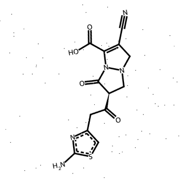 N#CC1=C(C(=O)O)N2C(=O)[C@H](C(=O)Cc3csc(N)n3)CN2C1